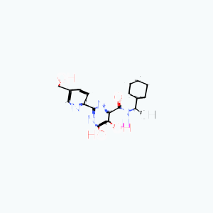 CC(NC(=O)c1nc(-c2ccc(CO)cn2)nc(O)c1O)C1CCCCC1